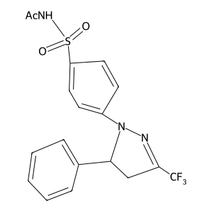 CC(=O)NS(=O)(=O)c1ccc(N2N=C(C(F)(F)F)CC2c2ccccc2)cc1